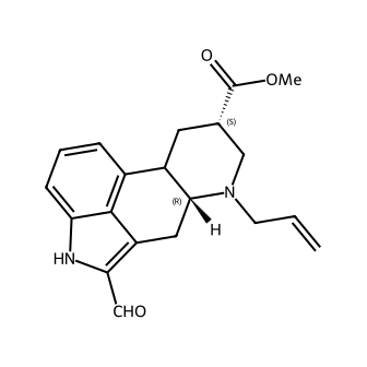 C=CCN1C[C@@H](C(=O)OC)CC2c3cccc4[nH]c(C=O)c(c34)C[C@H]21